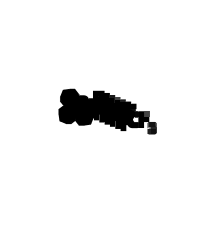 FC(F)(F)C(F)(F)C(F)(F)C(F)(F)C(F)(F)C(F)(F)C(F)(F)C(F)(F)CCO[Si](c1ccccc1)(c1ccccc1)c1ccccc1